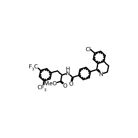 COC(=O)C(Cc1cc(C(F)(F)F)cc(C(F)(F)F)c1)NC(=O)c1ccc(C2=NCCc3ccc(Cl)cc32)cc1